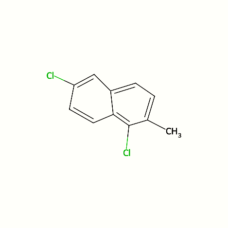 Cc1ccc2cc(Cl)ccc2c1Cl